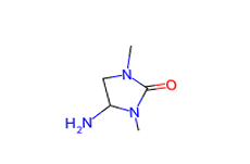 CN1CC(N)N(C)C1=O